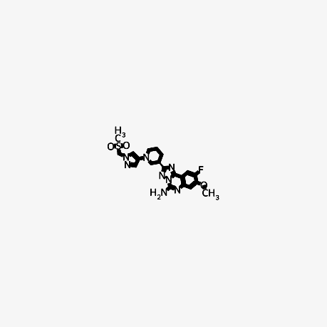 COc1cc2nc(N)n3nc([C@@H]4CCCN(c5cnn(CS(C)(=O)=O)c5)C4)nc3c2cc1F